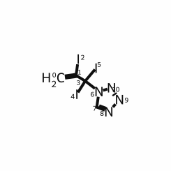 C=C(I)C(I)(I)n1cnnn1